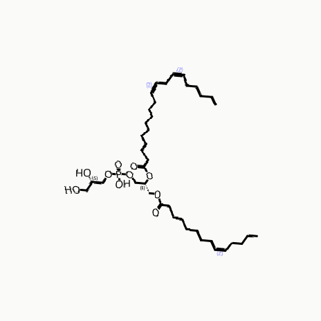 CCCC/C=C\CCCCCCCC(=O)OC[C@H](COP(=O)(O)OC[C@@H](O)CO)OC(=O)CCCCCCCCC/C=C\C/C=C\CCCCC